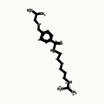 CC(C)COCc1ccc(C(=O)NCCCCCCNC(C)C)cc1